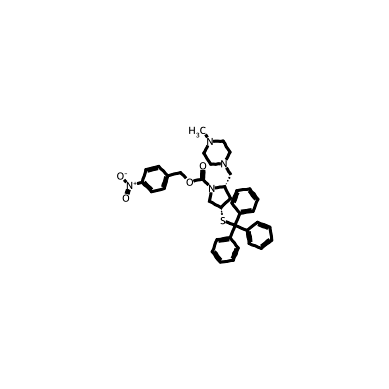 CN1CCN(C[C@@H]2C[C@H](SC(c3ccccc3)(c3ccccc3)c3ccccc3)CN2C(=O)OCc2ccc([N+](=O)[O-])cc2)CC1